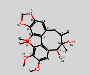 COc1cc2c(c(OC)c1OC)-c1c(cc3c(c1OC)OCO3)CC(C)[C@](C)(O)[C@H]2O